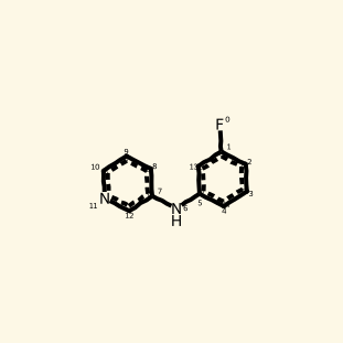 Fc1cc[c]c(Nc2cccnc2)c1